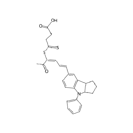 CC(=O)/C(=C\C=C\c1ccc2c(c1)C1CCCC1N2c1ccccc1)SC(=S)CCC(=O)O